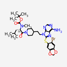 CC(C)C[C@@H](C(=O)N1CCC(CCn2c(Sc3cc4c(cc3Br)OCO4)nc3c(N)ncnc32)CC1)N(C)C(=O)OC(C)(C)C